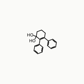 OC1(O)CCCC(c2ccccc2)=C1c1ccccc1